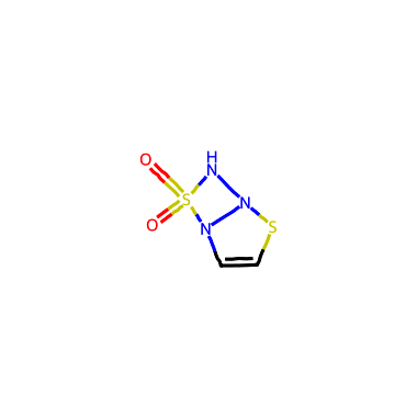 O=S1(=O)NN2SC=CN21